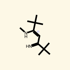 CN/C(=C\C(=N)C(C)(C)C)C(C)(C)C